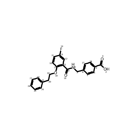 O=C(O)c1ccc(CNC(=O)c2cc(F)ccc2OCCc2ccccc2)cc1